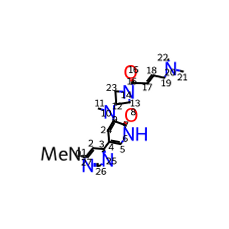 CNc1cc(-c2c[nH]c(=O)c(N(C)C3CN(C(=O)C=CCN(C)C)C3)c2)ncn1